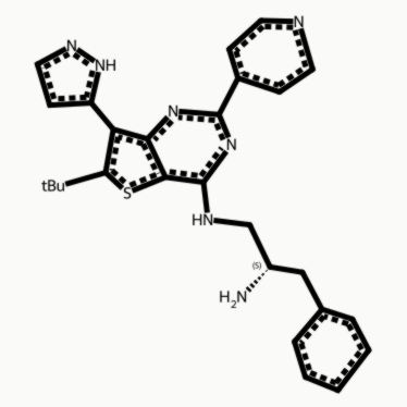 CC(C)(C)c1sc2c(NC[C@@H](N)Cc3ccccc3)nc(-c3ccncc3)nc2c1-c1ccn[nH]1